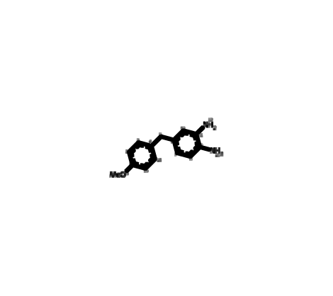 COc1ccc(Cc2ccc(N)c(N)c2)cc1